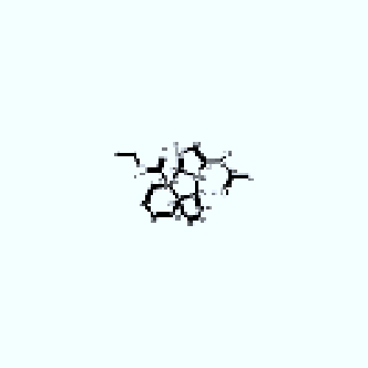 CCOC(=O)[N+]12C=CC=CC13CC=CC=C3n1c(SC(C)=O)cnc12